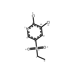 CCS(=O)(=O)c1cnc(Cl)c(Cl)c1